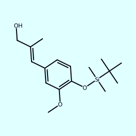 COc1cc(/C=C(\C)CO)ccc1O[Si](C)(C)C(C)(C)C